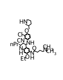 CCCC1Nc2cc(OCC)c(NC(=O)CCCN(C)C)cc2C(Nc2ccc(OCC3CCCNC3)c(Cl)c2)C1C#N